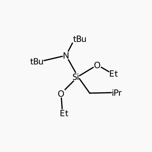 CCO[Si](CC(C)C)(OCC)N(C(C)(C)C)C(C)(C)C